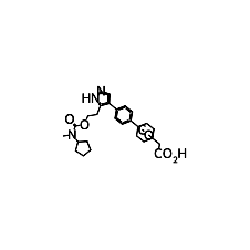 CN(C(=O)OCCc1[nH]ncc1-c1ccc(C23CCC(CC(=O)O)(CC2)OC3)cc1)C1CCCC1